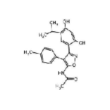 CC(=O)Nc1onc(-c2cc(C(C)C)c(O)cc2O)c1-c1ccc(C)cc1